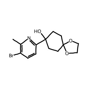 Cc1nc(C2(O)CCC3(CC2)OCCO3)ccc1Br